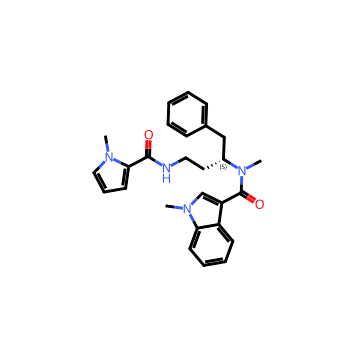 CN(C(=O)c1cn(C)c2ccccc12)[C@H](CCNC(=O)c1cccn1C)Cc1ccccc1